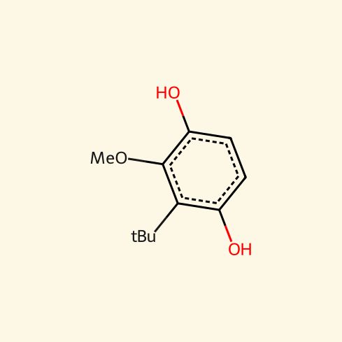 COc1c(O)ccc(O)c1C(C)(C)C